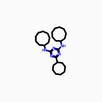 C1CCCCC(Nc2nc(NC3CCCCCCCC3)nc(C3CCCCCCC3)n2)CCC1